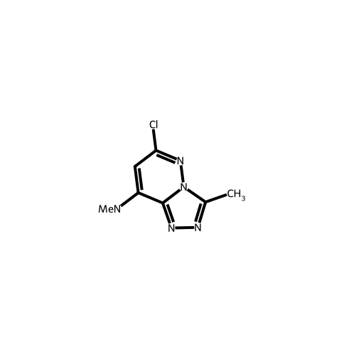 CNc1cc(Cl)nn2c(C)nnc12